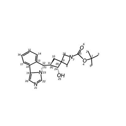 CC(C)(C)OC(=O)N1CC2(C[C@H]([C@H]3c4ccccc4-c4cncn43)[C@H]2O)C1